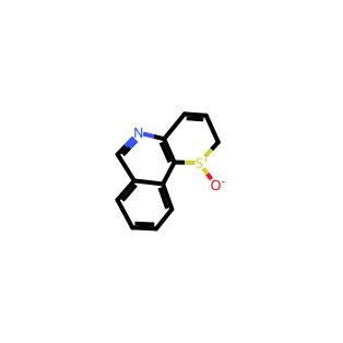 [O-][S+]1CC=Cc2ncc3ccccc3c21